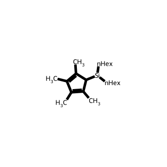 CCCCCC[Si](CCCCCC)C1C(C)=C(C)C(C)=C1C